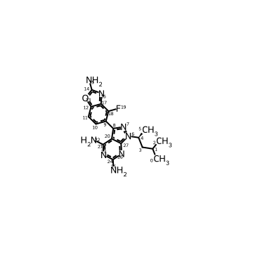 CC(C)C[C@H](C)n1nc(-c2ccc3oc(N)nc3c2F)c2c(N)nc(N)nc21